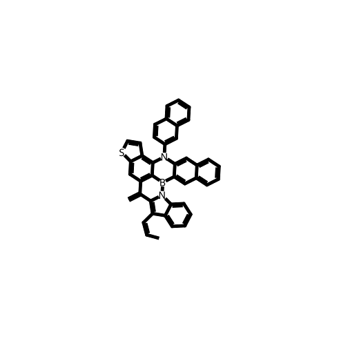 C=C1c2cc3sccc3c3c2B(c2cc4ccccc4cc2N3c2ccc3ccccc3c2)n2c1c(/C=C\C)c1ccccc12